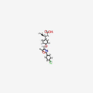 CC#CC(CC(=O)O)c1ccc(OCc2nc(-c3ccc(Cl)cc3)oc2C)cc1